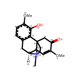 COC1=C[C@@H]2[C@@H]3Cc4ccc(OC)c(O)c4C2(CCN3C)CC1=O